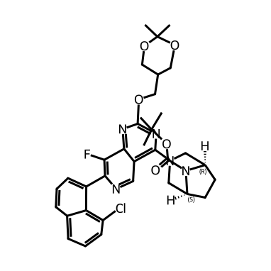 CC(C)(C)OC(=O)N1[C@@H]2CC[C@H]1CN(c1nc(OCC3COC(C)(C)OC3)nc3c(F)c(-c4cccc5cccc(Cl)c45)ncc13)C2